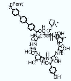 CCCCCOc1ccc(-c2ccc(-c3ccc(C(=O)N[C@H]4C[C@@H](O)[C@@H](OC[C@@H]5CCC[N+]5(C)C)NC(=O)[C@@H]5[C@@H](O)[C@@H](C)CN5C(=O)[C@H]([C@@H](C)O)NC(=O)[C@H]([C@H](O)[C@@H](O)c5ccc(O)cc5)NC(=O)[C@@H]5C[C@@H](O)CN5C(=O)[C@H]([C@@H](C)O)NC4=O)cc3)cc2)cc1